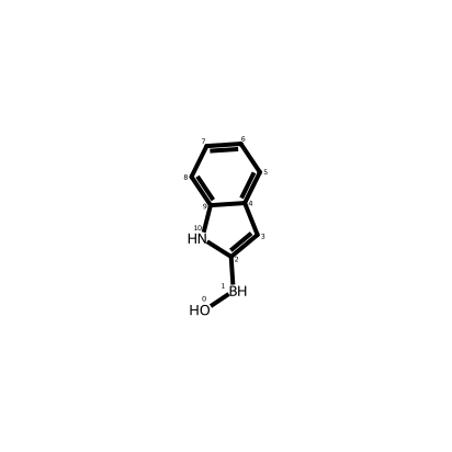 OBc1cc2ccccc2[nH]1